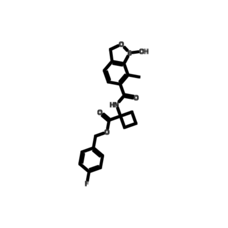 Cc1c(C(=O)NC2(C(=O)OCc3ccc(F)cc3)CCC2)ccc2c1B(O)OC2